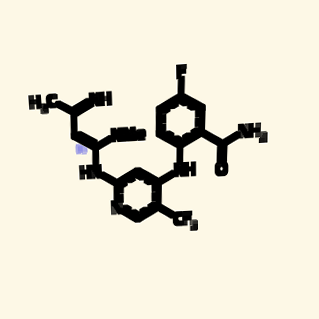 CN/C(=C\C(C)=N)Nc1cc(Nc2ccc(F)cc2C(N)=O)c(C(F)(F)F)cn1